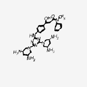 N[C@@H]1C[C@H](N)CN(c2nc(Nc3ccc(C(O)CC(=O)N(c4ccccc4)C(F)(F)F)cc3)nc(N3C[C@H](N)C[C@H](N)C3)n2)C1